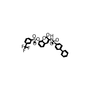 O=c1oc2c(OS(=O)(=O)c3cccc(C(F)(F)F)c3)cccc2cc1NS(=O)(=O)c1ccc(-c2ccccc2)cc1